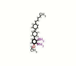 CCCCCC1CCC(C2CCC(c3ccc(OCC)c(P)c3P)CC2)CC1